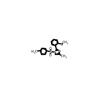 COc1ccccc1-c1nc(C)cn1S(=O)(=O)c1ccc(C)cc1